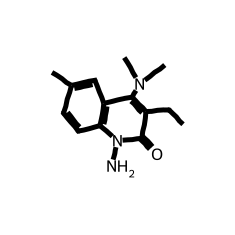 CCc1c(N(C)C)c2cc(C)ccc2n(N)c1=O